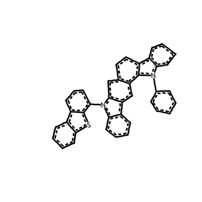 c1ccc(-n2c3ccccc3c3ccc4cc5c(cc4c32)c2ccccc2n5-c2cccc3c2sc2ccccc23)cc1